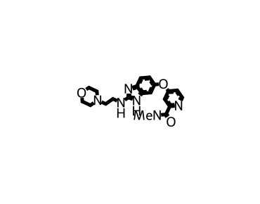 CNC(=O)c1cc(Oc2ccc3nc(NCCN4CCOCC4)[nH]c3c2)ccn1